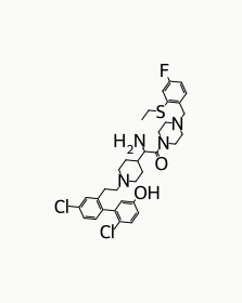 CCSc1cc(F)ccc1CN1CCN(C(=O)[C@H](N)C2CCN(CCc3cc(Cl)ccc3-c3cc(O)ccc3Cl)CC2)CC1